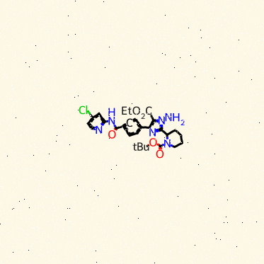 CCOC(=O)c1c(-c2ccc(C(=O)Nc3cc(Cl)ccn3)cc2)nc(C2CCCCN2C(=O)OC(C)(C)C)n1N